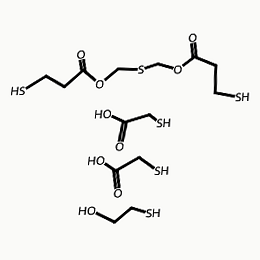 O=C(CCS)OCSCOC(=O)CCS.O=C(O)CS.O=C(O)CS.OCCS